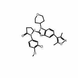 COc1ccc(N2C(=O)CC[C@H]2c2nc3cc(-c4c(C)noc4C)ccc3n2C2CCOCC2)cc1Cl